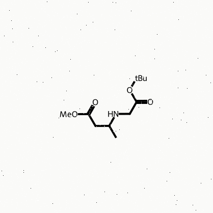 COC(=O)CC(C)NCC(=O)OC(C)(C)C